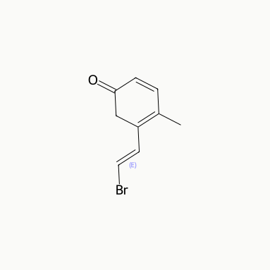 CC1=C(/C=C/Br)CC(=O)C=C1